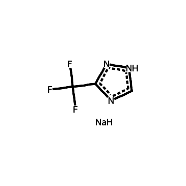 FC(F)(F)c1nc[nH]n1.[NaH]